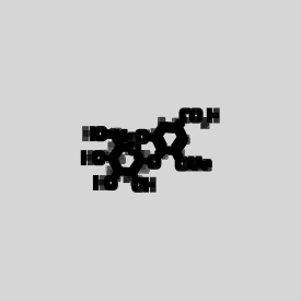 COc1cc(C(=O)O)cc(OC)c1O[C@@H]1O[C@H](CO)[C@@H](O)[C@H](O)[C@H]1O